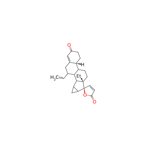 C=CC1CC2=CC(=O)CC[C@@H]2C2CC[C@@]3(CC)C(C4CC4[C@@]34C=CC(=O)O4)C12